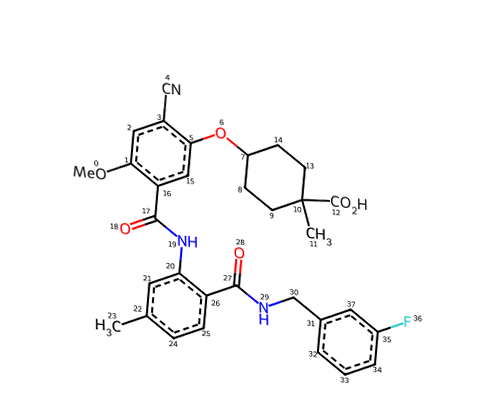 COc1cc(C#N)c(OC2CCC(C)(C(=O)O)CC2)cc1C(=O)Nc1cc(C)ccc1C(=O)NCc1cccc(F)c1